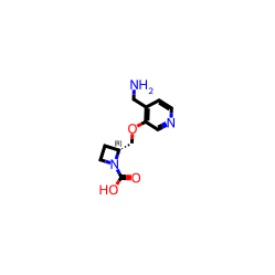 NCc1ccncc1OC[C@H]1CCN1C(=O)O